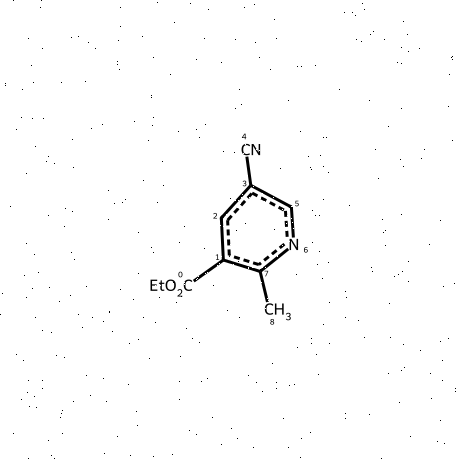 CCOC(=O)c1cc(C#N)cnc1C